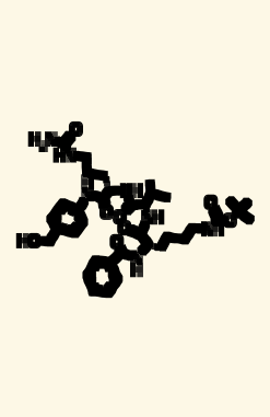 CC(C)[C@H](NC(=O)[C@H](CCCCNC(=O)OC(C)(C)C)NC(=O)c1ccccc1)C(=O)N[C@@H](CCCNC(N)=O)C(=O)Nc1ccc(CO)cc1